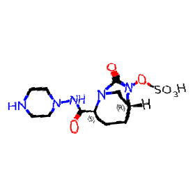 O=C(NN1CCNCC1)[C@@H]1CC[C@@H]2CN1C(=O)N2OS(=O)(=O)O